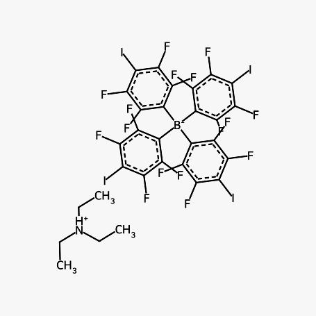 CC[NH+](CC)CC.Fc1c(F)c([B-](c2c(F)c(F)c(I)c(F)c2F)(c2c(F)c(F)c(I)c(F)c2F)c2c(F)c(F)c(I)c(F)c2F)c(F)c(F)c1I